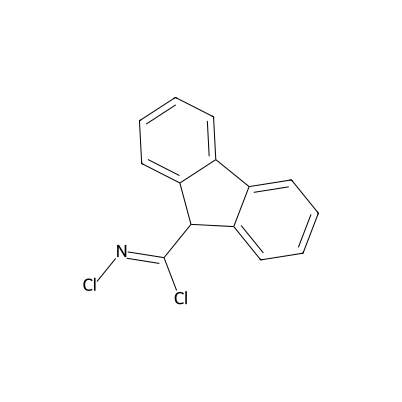 ClN=C(Cl)C1c2ccccc2-c2ccccc21